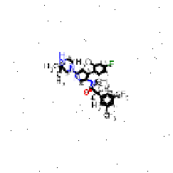 Cc1cc(F)ccc1-c1cc(N2CCNC(C)(C)C2)ncc1N(C)C(=O)C(C)(C)c1cc(C(F)(F)F)cc(C(F)(F)F)c1